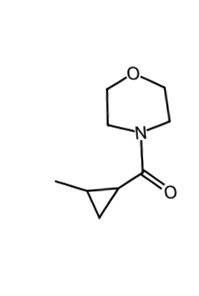 CC1CC1C(=O)N1CCOCC1